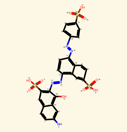 [NH]c1ccc2cc(S(=O)(=O)O)c(N=Nc3ccc(N=Nc4ccc(S(=O)(=O)O)cc4)c4ccc(S(=O)(=O)O)cc34)c(O)c2c1